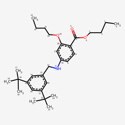 CCCCOC(=O)c1ccc(NCc2cc(C(C)(C)C)cc(C(C)(C)C)c2)cc1OCCCC